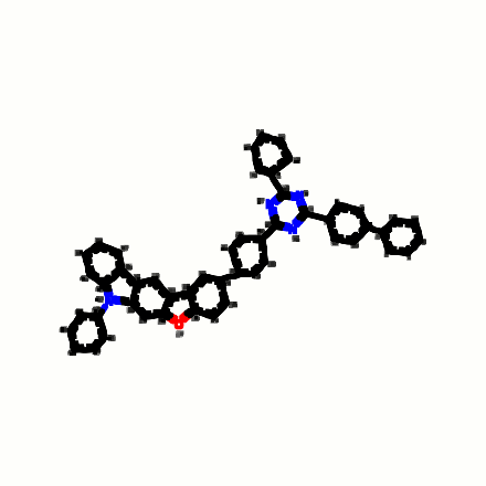 c1ccc(-c2ccc(-c3nc(-c4ccccc4)nc(-c4ccc(-c5ccc6oc7cc8c(cc7c6c5)c5ccccc5n8-c5ccccc5)cc4)n3)cc2)cc1